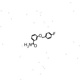 NC(=O)c1cccc(OCc2ccc(F)cc2)c1